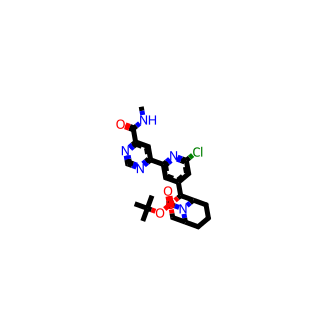 CNC(=O)c1cc(-c2cc(C3OCC4CCCC3N4C(=O)OC(C)(C)C)cc(Cl)n2)ncn1